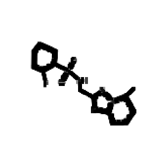 Cc1cccc2nc(CNS(=O)(=O)c3ccccc3F)nn12